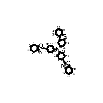 C1=Cc2oc(-c3ccc(N(c4ccc(-c5nc6ccccc6o5)cc4)c4ccc5sc6ccccc6c5c4)cc3)nc2CC1